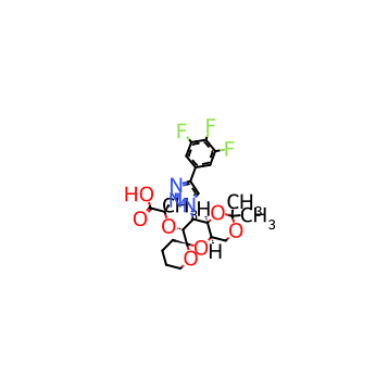 C[C@@H](O[C@@H]1[C@@H](n2cc(-c3cc(F)c(F)c(F)c3)nn2)[C@H]2OC(C)(C)OC[C@H]2O[C@@]12CCCCO2)C(=O)O